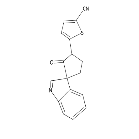 N#Cc1ccc(C2CCC3(C=Nc4ccccc43)C2=O)s1